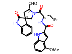 COc1cccc2[nH]c(C(=O)N[C@@H](CC(C)C)C(=O)N3C[C@]4(C[C@H]3C=O)C(=O)Nc3ccccc34)cc12